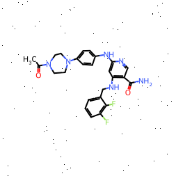 CC(=O)N1CCN(c2ccc(Nc3cc(NCc4cccc(F)c4F)c(C(N)=O)cn3)cc2)CC1